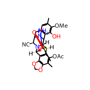 COc1c(C)cc2c(c1O)C1NC(C2)[C@H](C#N)N2[C@H]1[C@@H]1SCC(N)C(=O)OC[C@H]2c2c3c(c(C)c(OC(C)=O)c21)OCO3